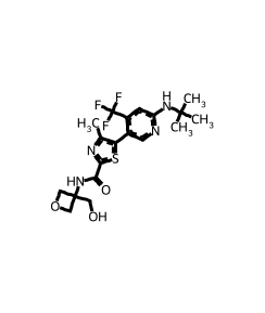 Cc1nc(C(=O)NC2(CO)COC2)sc1-c1cnc(NC(C)(C)C)cc1C(F)(F)F